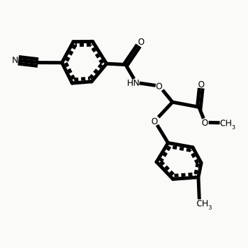 COC(=O)C(ONC(=O)c1ccc(C#N)cc1)Oc1ccc(C)cc1